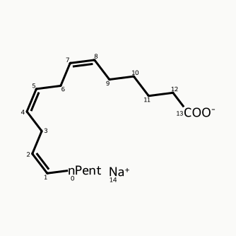 CCCCC/C=C\C/C=C\C/C=C\CCCCC(=O)[O-].[Na+]